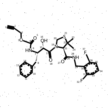 C#CCOC(=O)N[C@@H](Cc1ccccc1)[C@H](O)C(=O)N1CSC(C)(C)[C@H]1C(=O)NCc1c(F)cccc1F